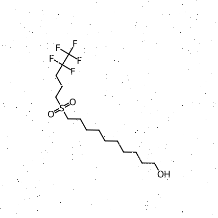 O=S(=O)(CCCCCCCCCCO)CCCC(F)(F)C(F)(F)F